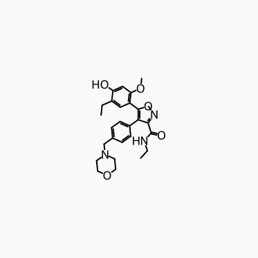 CCNC(=O)c1noc(-c2cc(CC)c(O)cc2OC)c1-c1ccc(CN2CCOCC2)cc1